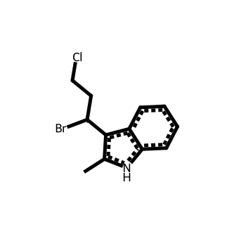 Cc1[nH]c2ccccc2c1[C](Br)CCCl